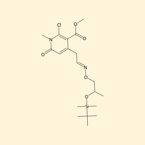 COC(=O)c1c(CC=NOCC(C)O[Si](C)(C)C(C)(C)C)cc(=O)n(C)c1Cl